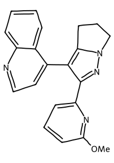 COc1cccc(-c2nn3c(c2-c2ccnc4ccccc24)CCC3)n1